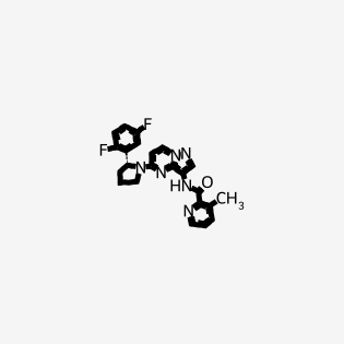 Cc1cccnc1C(=O)Nc1cnn2ccc(N3CCC[C@@H]3c3cc(F)ccc3F)nc12